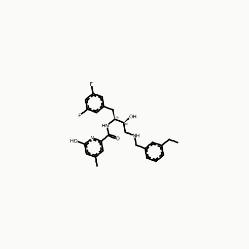 CCc1cccc(CNC[C@H](O)[C@H](Cc2cc(F)cc(F)c2)NC(=O)c2cc(C)cc(O)n2)c1